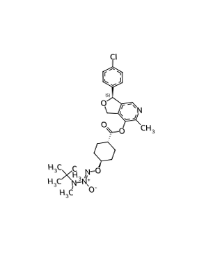 Cc1ncc2c(c1OC(=O)[C@H]1CC[C@H](ON=[N+]([O-])N(C)C(C)(C)C)CC1)CO[C@H]2c1ccc(Cl)cc1